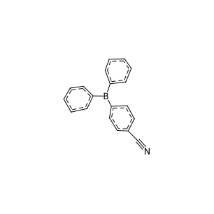 N#Cc1ccc(B(c2ccccc2)c2ccccc2)cc1